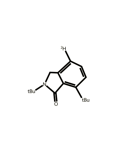 [2H]c1ccc(C(C)(C)C)c2c1CN(C(C)(C)C)C2=O